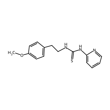 COc1ccc(CCNC(=S)Nc2ccccn2)cc1